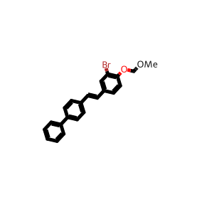 COCOc1ccc(C=Cc2ccc(-c3ccccc3)cc2)cc1Br